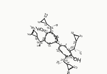 C[C@H](c1cc(-c2cc([C@@H](C)C3CC3)c(O)c([C@@H](C)C3CC3)c2)cc([C@@H](C)C2CC2)c1O)C1CC1